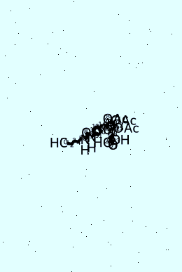 C#CCCCCNC(=O)Nc1ccc(C[C@H]2O[C@H](CCP(=O)(O)O)[C@@H](OC(C)=O)[C@H](OC(C)=O)[C@@H]2OC(C)=O)cc1